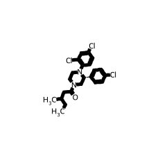 CCC(C)CC(=O)N1CCN(c2ccc(Cl)cc2Cl)[C@H](c2ccc(Cl)cc2)C1